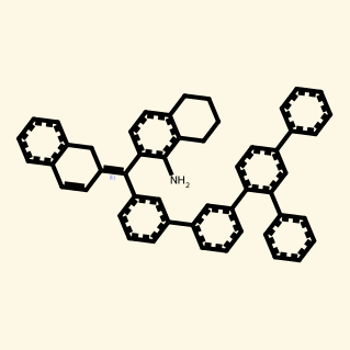 Nc1c(/C(=C2/C=Cc3ccccc3C2)c2cccc(-c3cccc(-c4ccc(-c5ccccc5)cc4-c4ccccc4)c3)c2)ccc2c1CCCC2